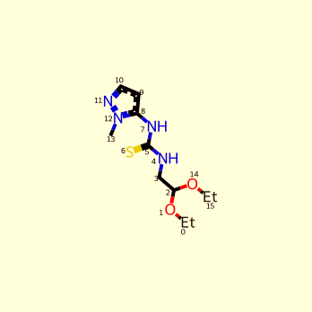 CCOC(CNC(=S)Nc1ccnn1C)OCC